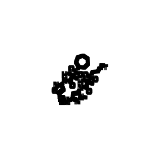 CC(C)(C)c1cc(NC(=O)C(C)(C)S(=O)(=O)C2CCCCCC2)no1.CC(C)CCS(=O)(=O)C(C)(C)C(=O)Nc1cc(C(C)(C)C)nn1C